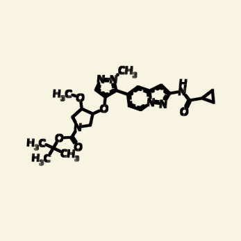 COC1CN(C(=O)OC(C)(C)C)CC1Oc1cnn(C)c1-c1ccn2nc(NC(=O)C3CC3)cc2c1